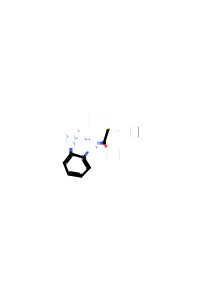 C[C@@H](S)C(O)n1nnc2ccccc21